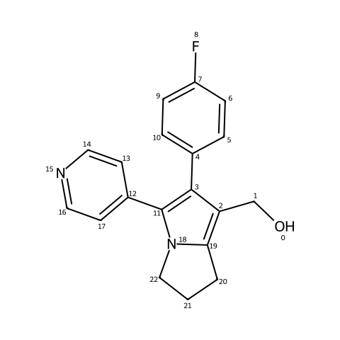 OCc1c(-c2ccc(F)cc2)c(-c2ccncc2)n2c1CCC2